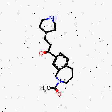 CC(=O)N1CCCc2ccc(C(=O)CCC3CCNCC3)cc2C1